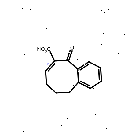 O=C(O)/C1=C/CCCc2ccccc2C1=O